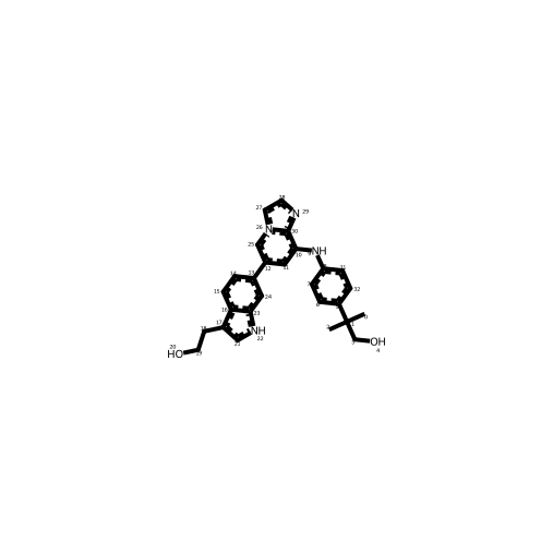 CC(C)(CO)c1ccc(Nc2cc(-c3ccc4c(CCO)c[nH]c4c3)cn3ccnc23)cc1